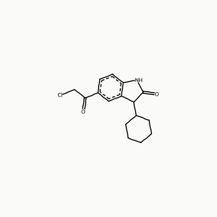 O=C(CCl)c1ccc2c(c1)C(C1CCCCC1)C(=O)N2